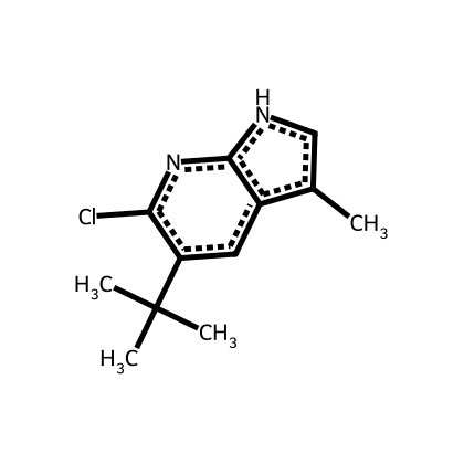 Cc1c[nH]c2nc(Cl)c(C(C)(C)C)cc12